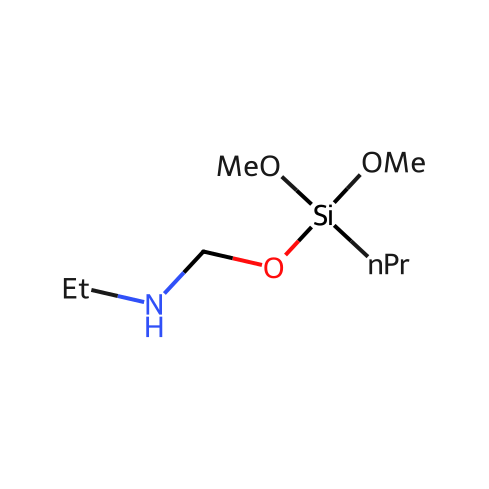 CCC[Si](OC)(OC)OCNCC